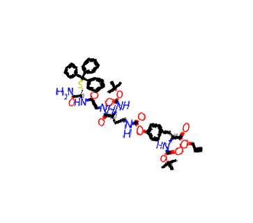 C=CCOC(=O)[C@H](Cc1ccc(OC(=O)NCC[C@H](NC(=O)OC(C)(C)C)C(=O)NCC(=O)N[C@@H](CSC(c2ccccc2)(c2ccccc2)c2ccccc2)C(N)=O)cc1)NC(=O)OC(C)(C)C